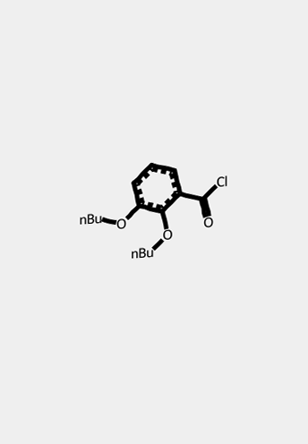 CCCCOc1cccc(C(=O)Cl)c1OCCCC